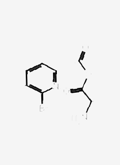 Brc1ccccn1.NCC(=O)OC=O